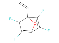 C=CC12OC(=C(F)C1F)C(F)=C2F